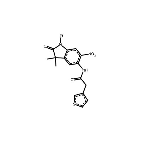 CCN1C(=O)C(C)(C)c2cc(NC(=O)Cc3ccsc3)c([N+](=O)[O-])cc21